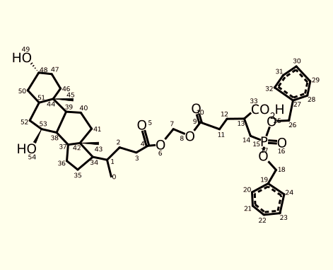 CC(CCC(=O)OCOC(=O)CCC(CP(=O)(OCc1ccccc1)OCc1ccccc1)C(=O)O)C1CCC2C3C(CC[C@]12C)[C@@]1(C)CC[C@@H](O)CC1C[C@@H]3O